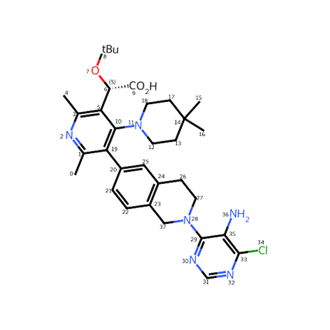 Cc1nc(C)c([C@H](OC(C)(C)C)C(=O)O)c(N2CCC(C)(C)CC2)c1-c1ccc2c(c1)CCN(c1ncnc(Cl)c1N)C2